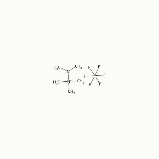 CN(C)[N+](C)(C)C.F[P-](F)(F)(F)(F)F